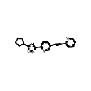 C(#Cc1ccccn1)c1ccc(-c2noc(C3CCCC3)n2)nc1